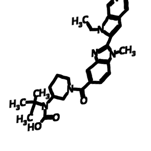 CCn1c(-c2nc3cc(C(=O)N4CCCC(N(C(=O)O)C(C)(C)C)C4)ccc3n2C)cc2ccncc21